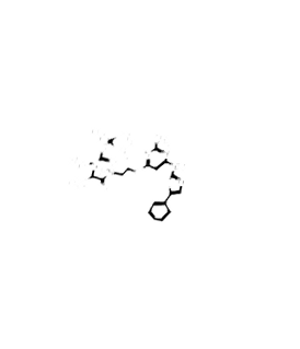 Cc1nc(Nc2ncc(-c3ccccc3)s2)cc(OCCNC(=O)C(C)N(C)C(=O)OC(C)(C)C)n1